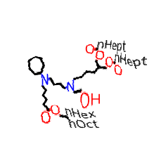 CCCCCCCCC(CCCCCC)COC(=O)CCCCCN(CCCCN(CCO)CCCCC(COC(=O)CCCCCCC)COC(=O)CCCCCCC)C1CCCCCC1